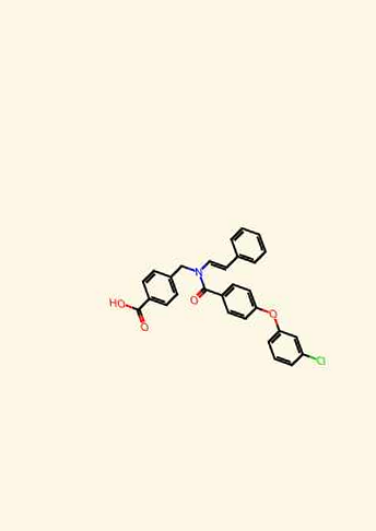 O=C(O)c1ccc(CN(C=Cc2ccccc2)C(=O)c2ccc(Oc3cccc(Cl)c3)cc2)cc1